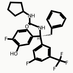 O=C(NC1CCCC1)N[C@@](Cc1ccccc1)(c1cc(F)cc(C(F)(F)F)c1)c1ccc(F)c(O)c1